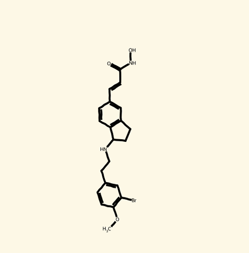 COc1ccc(CCNC2CCc3cc(C=CC(=O)NO)ccc32)cc1Br